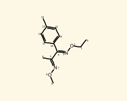 CCO/N=C(/C(C)=N/OC)c1ccc(C)cc1